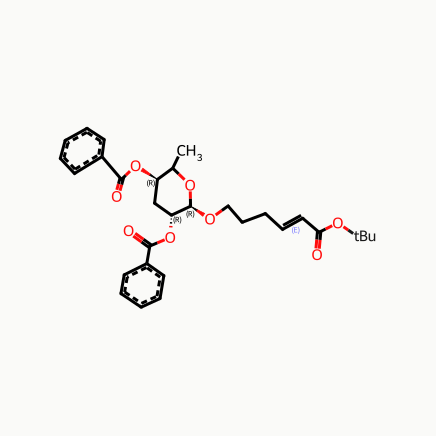 CC1O[C@@H](OCCC/C=C/C(=O)OC(C)(C)C)[C@H](OC(=O)c2ccccc2)C[C@H]1OC(=O)c1ccccc1